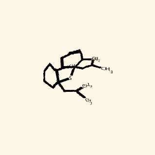 CC(C)CC1(SC2(CC(C)C)CCCCC2C)CCCCC1C